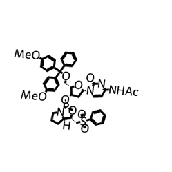 COc1ccc(C(OC[C@@H]2O[C@H](n3ccc(NC(C)=O)nc3=O)C[C@H]2O[P@]2O[C@H](CS(=O)(=O)c3ccccc3)[C@@H]3CCCN32)(c2ccccc2)c2ccc(OC)cc2)cc1